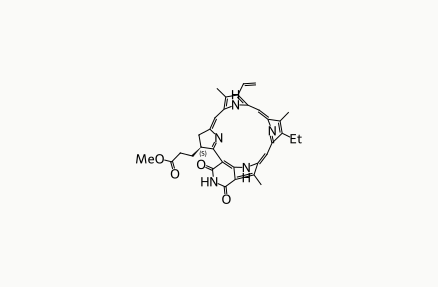 C=Cc1c(C)c2cc3nc(c4c5[nH]c(cc6nc(cc1[nH]2)C(C)=C6CC)c(C)c5C(=O)NC4=O)[C@@H](CCC(=O)OC)C3